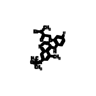 CCN(C)C(=O)COc1cc(F)ccc1Nc1ncnc2cc(N=S(C)(C)=O)cc(C)c12